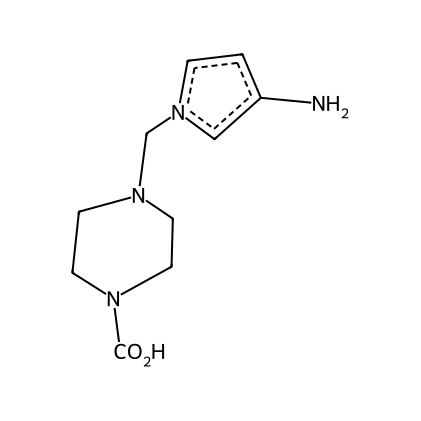 Nc1ccn(CN2CCN(C(=O)O)CC2)c1